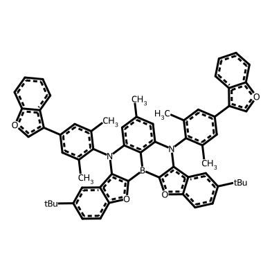 Cc1cc2c3c(c1)N(c1c(C)cc(-c4coc5ccccc45)cc1C)c1c(oc4ccc(C(C)(C)C)cc14)B3c1oc3ccc(C(C)(C)C)cc3c1N2c1c(C)cc(-c2coc3ccccc23)cc1C